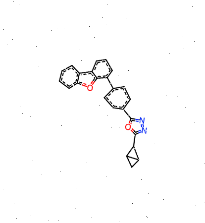 c1ccc2c(c1)oc1c(-c3ccc(-c4nnc(C5C6CC65)o4)cc3)cccc12